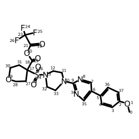 COc1ccc(-c2cnc(N3CCN(S(=O)(=O)C4(C(=O)OC(=O)C(F)(F)F)CCOCC4)CC3)nc2)cc1